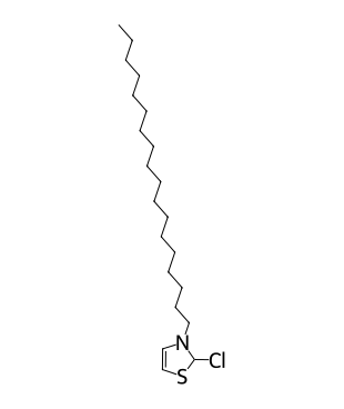 CCCCCCCCCCCCCCCCCCN1C=CSC1Cl